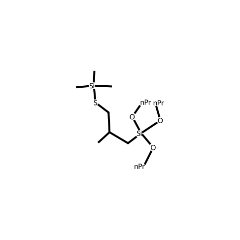 CCCO[Si](CC(C)CS[Si](C)(C)C)(OCCC)OCCC